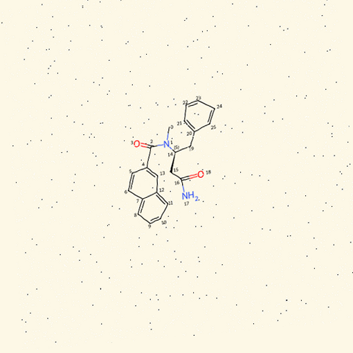 CN(C(=O)c1ccc2ccccc2c1)[C@H](CC(N)=O)Cc1ccccc1